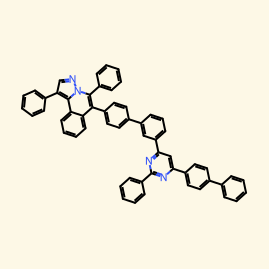 c1ccc(-c2ccc(-c3cc(-c4cccc(-c5ccc(-c6c(-c7ccccc7)n7ncc(-c8ccccc8)c7c7ccccc67)cc5)c4)nc(-c4ccccc4)n3)cc2)cc1